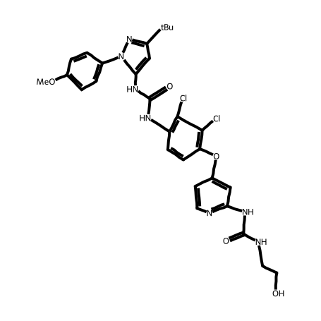 COc1ccc(-n2nc(C(C)(C)C)cc2NC(=O)Nc2ccc(Oc3ccnc(NC(=O)NCCO)c3)c(Cl)c2Cl)cc1